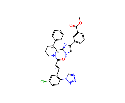 COC(=O)c1cccc(-c2c[nH]c([C@@H]3[C@H](c4ccccc4)CCCN3C(=O)/C=C/c3cc(Cl)ccc3-n3cnnn3)n2)c1